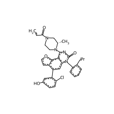 C=CC(=O)N1CCN(c2nc(=O)n(-c3ccccc3C(C)C)c3cc(-c4cc(O)ccc4Cl)c4ccoc4c23)[C@@H](C)C1